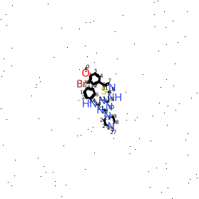 COc1ccc(-c2cnc(Nc3nc(Nc4ccccc4)nc(N4CCN(C)CC4)n3)s2)cc1Br